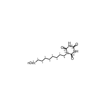 CCCCCCCCCCCCCCCCCCn1c(=O)[nH]c(=O)[nH]c1=O